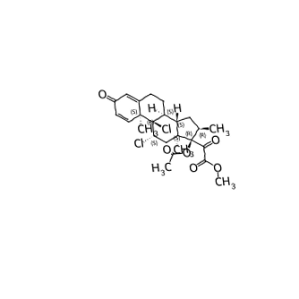 COC(=O)C(=O)[C@@]1(OC(C)=O)[C@H](C)C[C@H]2[C@@H]3CCC4=CC(=O)C=C[C@]4(C)[C@@]3(Cl)[C@@H](Cl)C[C@@]21C